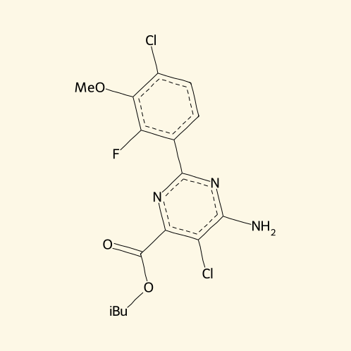 CCC(C)OC(=O)c1nc(-c2ccc(Cl)c(OC)c2F)nc(N)c1Cl